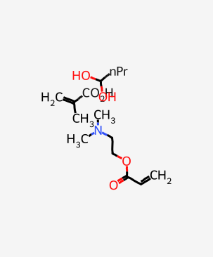 C=C(C)C(=O)O.C=CC(=O)OCCN(C)C.CCCC(O)O